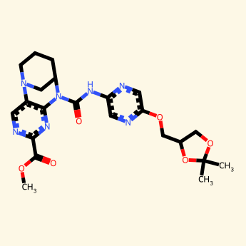 COC(=O)c1ncc2c(n1)N(C(=O)Nc1cnc(OCC3COC(C)(C)O3)cn1)C1CCCN2C1